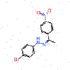 C/C(=N/Nc1ccc(Br)cc1)c1ccc([N+](=O)[O-])cc1